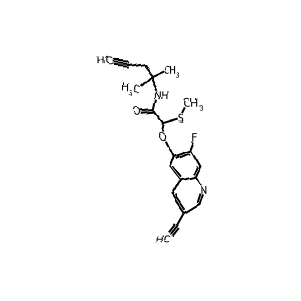 C#CCC(C)(C)NC(=O)C(Oc1cc2cc(C#C)cnc2cc1F)SC